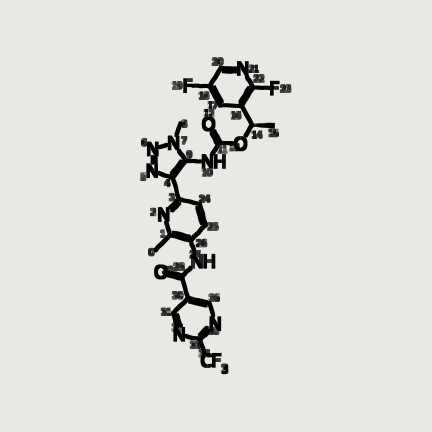 Cc1nc(-c2nnn(C)c2NC(=O)O[C@H](C)c2cc(F)cnc2F)ccc1NC(=O)c1cnc(C(F)(F)F)nc1